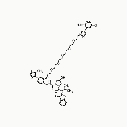 Cc1ncsc1-c1ccc(CNC(=O)[C@@H]2C[C@@H](O)CN2C(=O)C(C(C)C)N2Cc3ccccc3C2=O)c(OCCOCCOCCOCCOCCOCCn2cc(-c3cc(Cl)nnc3N)cn2)c1